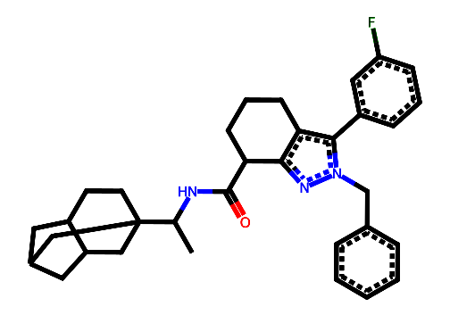 CC(NC(=O)C1CCCc2c1nn(Cc1ccccc1)c2-c1cccc(F)c1)C12CCC3CC(CC3C1)C2